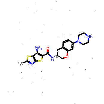 Cc1nc2sc(C(=O)N[C@H]3COc4cc(N5CCNCC5)ccc4C3)c(N)c2s1